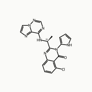 C[C@H](Nc1ncnn2ccnc12)c1nc2cccc(Cl)c2c(=O)n1-c1ccc[nH]1